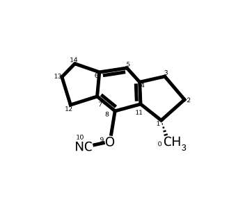 C[C@H]1CCc2cc3c(c(OC#N)c21)CCC3